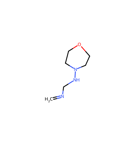 C=NCNN1CCOCC1